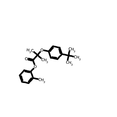 Cc1ccccc1OC(=O)C(C)(C)Oc1ccc(C(C)(C)C)cc1